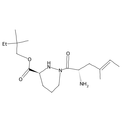 C/C=C(\C)C[C@H](N)C(=O)N1CCC[C@@H](C(=O)OCC(C)(C)CC)N1